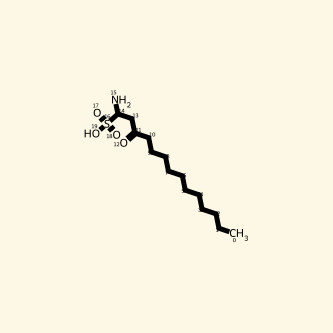 CCCCCCCCCCCC(=O)CC(N)S(=O)(=O)O